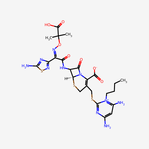 CCCC[n+]1c(N)cc(N)nc1SCC1=C(C(=O)[O-])N2C(=O)C(NC(=O)/C(=N\OC(C)(C)C(=O)O)c3nsc(N)n3)[C@@H]2SC1